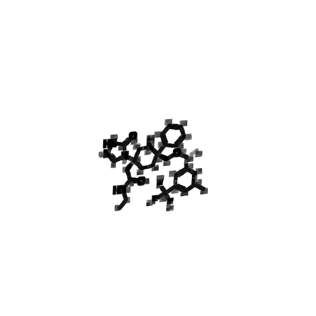 CCNC(=O)C[C@]1(n2cn[nH]c2=O)CC[C@@](CO[C@H](C)c2cc(C)cc(C(F)(F)F)c2)(c2ccccc2)NC1